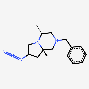 C[C@@H]1CN(Cc2ccccc2)C[C@@H]2CC(N=[N+]=[N-])CN21